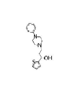 O[C@@H](CCN1CCN(c2ccccc2)CC1)c1cccs1